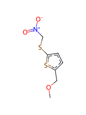 COCc1ccc(SC[N+](=O)[O-])s1